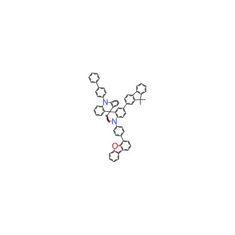 CC1(C)c2ccccc2-c2ccc(-c3ccc4c(c3)C3(c5ccccc5N(c5ccc(-c6ccccc6)cc5)c5ccccc53)c3ccccc3N4c3ccc(-c4cccc5c4oc4ccccc45)cc3)cc21